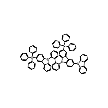 c1ccc([Si](c2ccccc2)(c2ccccc2)c2ccc3c(c2)c2ccccc2n3-c2ccccc2-c2ccccc2-n2c3ccc(-n4c5ccccc5c5ccccc54)cc3c3cc([Si](c4ccccc4)(c4ccccc4)c4ccccc4)ccc32)cc1